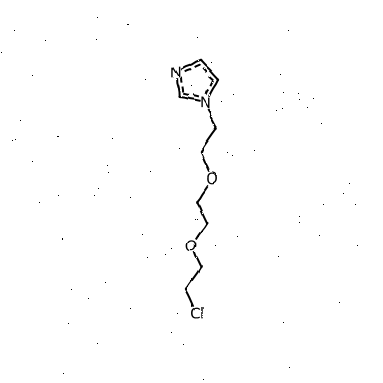 ClCCOCCOCCn1ccnc1